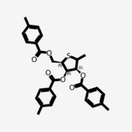 Cc1ccc(C(=O)OC[C@H]2SC(C)[C@@H](OC(=O)c3ccc(C)cc3)[C@H]2OC(=O)c2ccc(C)cc2)cc1